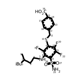 CCC(C)C(C)CCNc1c(F)c(SCc2ccc(C(=O)O)cc2)c(F)c(F)c1S(N)(=O)=O